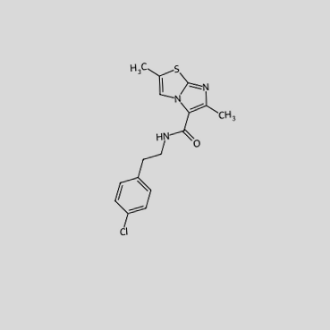 Cc1cn2c(C(=O)NCCc3ccc(Cl)cc3)c(C)nc2s1